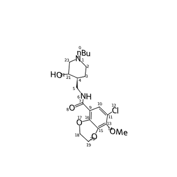 CCCCN1CC[C@@H](CNC(=O)c2cc(Cl)c(OC)c3c2OCCO3)C(O)C1